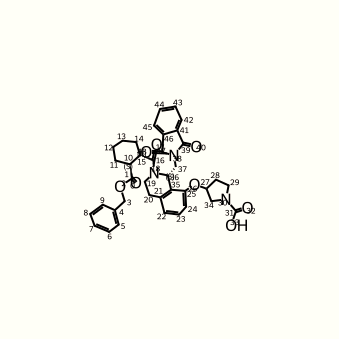 O=C(OCc1ccccc1)[C@H]1CCCC[C@H]1C(=O)N1CCc2cccc(OC3CCN(C(=O)O)C3)c2[C@H]1CN1C(=O)c2ccccc2C1=O